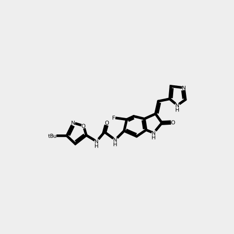 CC(C)(C)c1cc(NC(=O)Nc2cc3c(cc2F)/C(=C/c2cnc[nH]2)C(=O)N3)on1